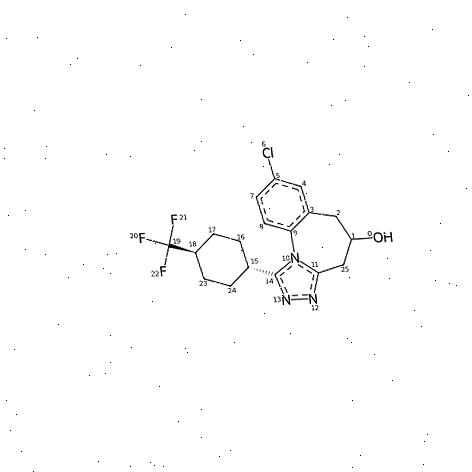 OC1Cc2cc(Cl)ccc2-n2c(nnc2[C@H]2CC[C@H](C(F)(F)F)CC2)C1